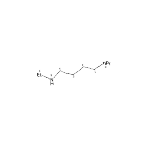 [CH2]CCCCCCNCC